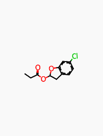 CCC(=O)OC1Cc2ccc(Cl)cc2O1